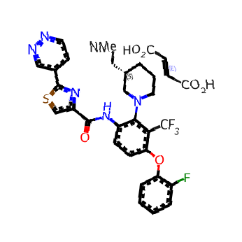 CNC[C@@H]1CCCN(c2c(NC(=O)c3csc(-c4ccnnc4)n3)ccc(Oc3ccccc3F)c2C(F)(F)F)C1.O=C(O)/C=C/C(=O)O